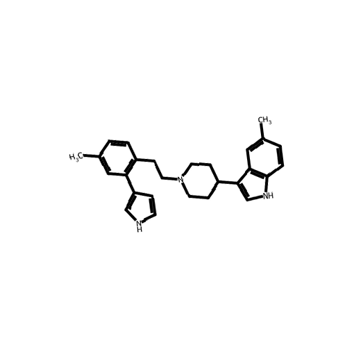 Cc1ccc(CCN2CCC(c3c[nH]c4ccc(C)cc34)CC2)c(-c2cc[nH]c2)c1